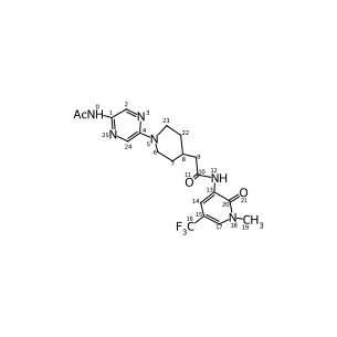 CC(=O)Nc1cnc(N2CCC(CC(=O)Nc3cc(C(F)(F)F)cn(C)c3=O)CC2)cn1